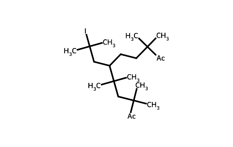 CC(=O)C(C)(C)CCC(CC(C)(C)I)C(C)(C)CC(C)(C)C(C)=O